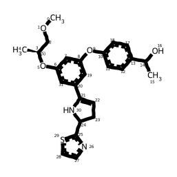 COC[C@H](C)Oc1cc(Oc2ccc(C(C)O)cc2)cc(C2=CCC(c3nccs3)N2)c1